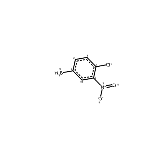 Bc1ccc(Cl)c([N+](=O)[O-])c1